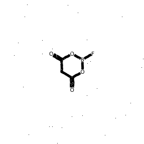 O=C1CC(=O)OB(F)O1